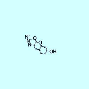 [N-]=[N+]=Nc1cc2ccc(O)cc2oc1=O